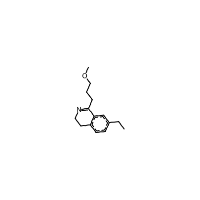 CCc1ccc2c(c1)C(CCCOC)=NCC2